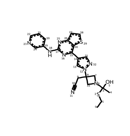 CCSC(C)(O)N1CC(CC#N)(n2cc(-c3nc(Nc4cccnc4)nc4ccsc34)cn2)C1